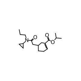 CCCN(C(=O)CC1CCC=C(C(=O)OC(C)C)C1)C1CC1